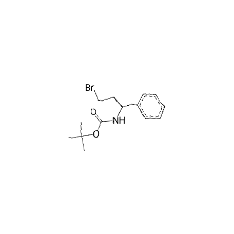 CC(C)(C)OC(=O)NC(CCBr)c1ccccc1